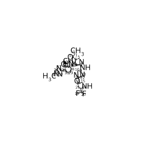 CCC(=O)c1cnc(Nc2cnc(O[C@H]3CN[C@@H](C(F)F)C3)cn2)cc1Nc1cccc(-c2ncn(C)n2)c1OC